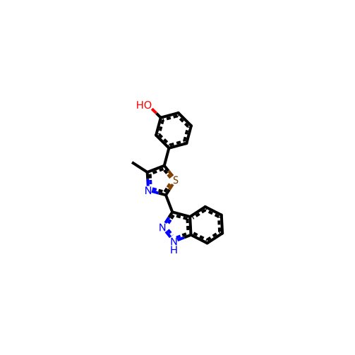 Cc1nc(-c2n[nH]c3ccccc23)sc1-c1cccc(O)c1